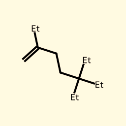 C=C(CC)CCC(CC)(CC)CC